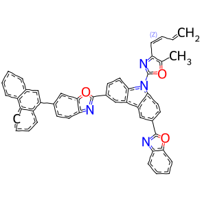 C=C/C=C\c1nc(-n2c3ccc(-c4nc5ccccc5o4)cc3c3cc(-c4nc5ccc(-c6cc7ccccc7c7ccccc67)cc5o4)ccc32)oc1C